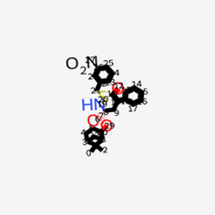 CC1(C)C2CC3OB(C(Cc4coc5ccccc45)NSCc4cccc([N+](=O)[O-])c4)OC3C1C2